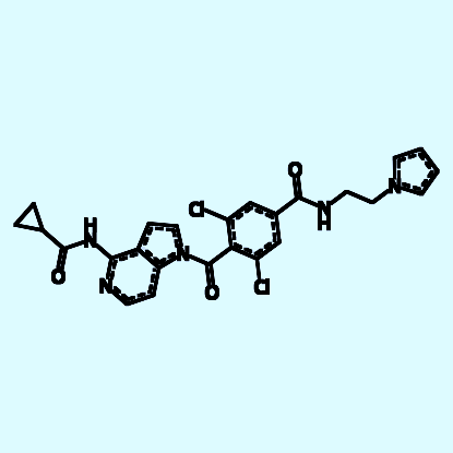 O=C(NCCn1cccc1)c1cc(Cl)c(C(=O)n2ccc3c(NC(=O)C4CC4)nccc32)c(Cl)c1